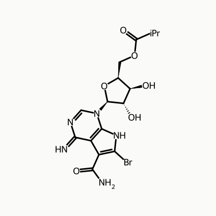 CC(C)C(=O)OC[C@@H]1O[C@H](n2cnc(=N)c3c(C(N)=O)c(Br)[nH]c32)[C@@H](O)[C@@H]1O